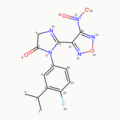 CC(C)c1cc(N2C(=O)CN=C2c2nonc2[N+](=O)[O-])ccc1F